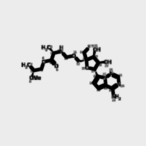 CO[C@H](C)COC(=O)[C@H](C)NCOC[C@@]1(CF)O[C@@H](c2ccc3c(N)ncnn23)[C@H](O)[C@@H]1O